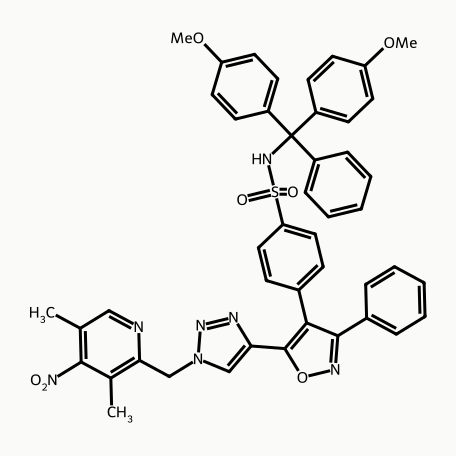 COc1ccc(C(NS(=O)(=O)c2ccc(-c3c(-c4ccccc4)noc3-c3cn(Cc4ncc(C)c([N+](=O)[O-])c4C)nn3)cc2)(c2ccccc2)c2ccc(OC)cc2)cc1